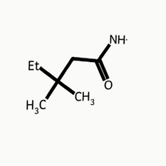 CCC(C)(C)CC([NH])=O